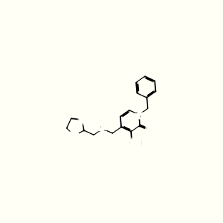 O=c1c(O)c(CNCC2OCCO2)ccn1Cc1ccccc1